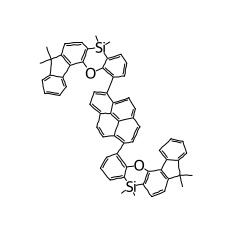 CC1(C)c2ccccc2-c2c1ccc1c2Oc2c(-c3ccc4ccc5c(-c6cccc7c6Oc6c(ccc8c6-c6ccccc6C8(C)C)[Si]7(C)C)ccc6ccc3c4c65)cccc2[Si]1(C)C